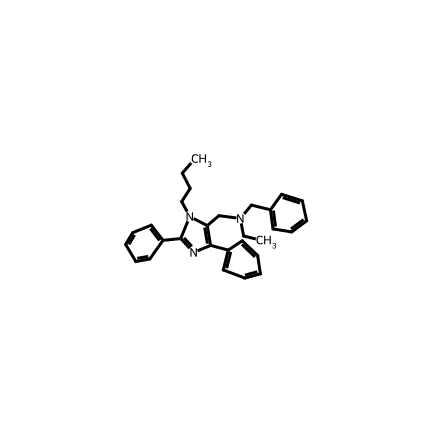 CCCCn1c(-c2ccccc2)nc(-c2ccccc2)c1CN(CC)Cc1ccccc1